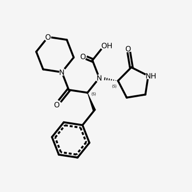 O=C1NCC[C@@H]1N(C(=O)O)[C@@H](Cc1ccccc1)C(=O)N1CCOCC1